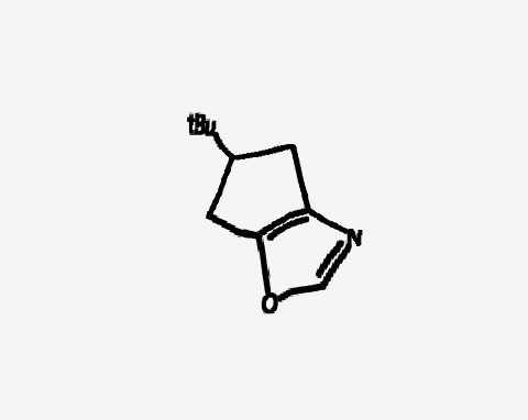 CC(C)(C)C1Cc2ncoc2C1